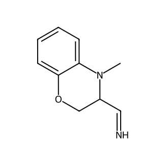 CN1c2ccccc2OCC1C=N